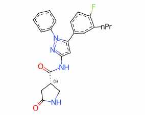 CCCc1cc(-c2cc(NC(=O)[C@@H]3CNC(=O)C3)nn2-c2ccccc2)ccc1F